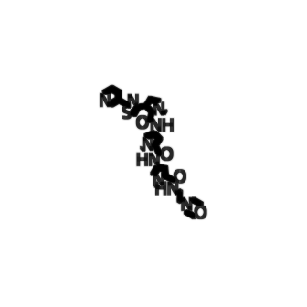 CN1C=CC(c2csc(-c3cccnc3)n2)C1C(=O)Nc1cc(C(=O)Nc2cc(C(=O)NCCN3CCOCC3)n(C)c2)n(C)c1